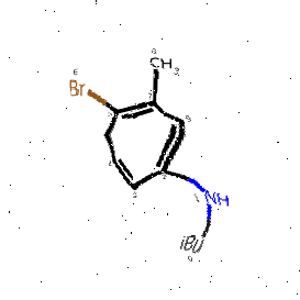 CCC(C)Nc1ccc(Br)c(C)c1